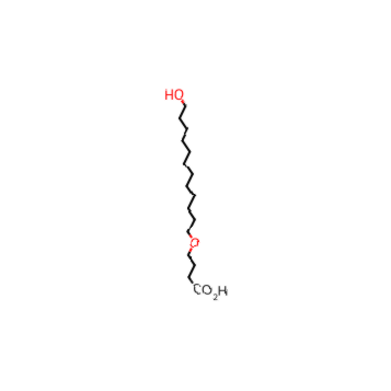 O=C(O)CCCOCCCCCCCCCCCCO